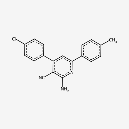 Cc1ccc(-c2cc(-c3ccc(Cl)cc3)c(C#N)c(N)n2)cc1